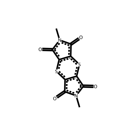 Cn1c(=O)c2sc3c(=O)n(C)c(=O)c3sc2c1=O